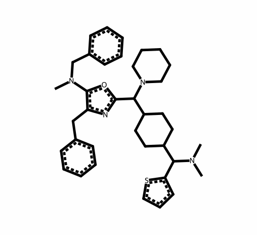 CN(Cc1ccccc1)c1oc(C(C2CCC(C(c3cccs3)N(C)C)CC2)N2CCCCC2)nc1Cc1ccccc1